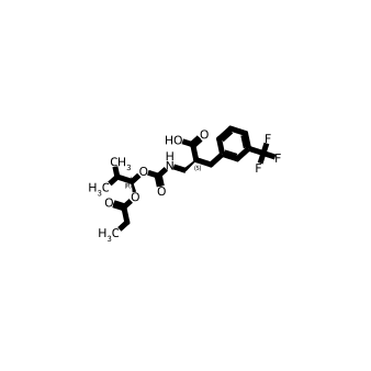 CCC(=O)O[C@H](OC(=O)NC[C@H](Cc1cccc(C(F)(F)F)c1)C(=O)O)C(C)C